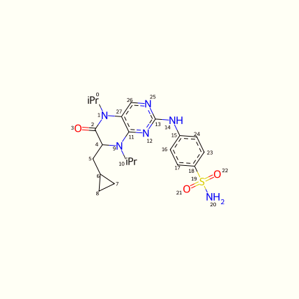 CC(C)N1C(=O)C(CC2CC2)N(C(C)C)c2nc(Nc3ccc(S(N)(=O)=O)cc3)ncc21